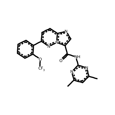 Cc1cc(C)nc(NC(=O)c2cnc3ccc(-c4ccccc4OC(F)(F)F)nn23)n1